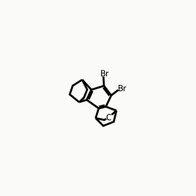 Brc1c(Br)c2c(c3c1C1CCC3CC1)C1CCC2CC1